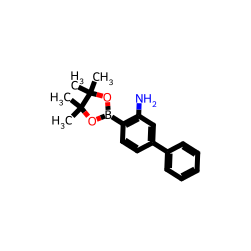 CC1(C)OB(c2ccc(-c3ccccc3)cc2N)OC1(C)C